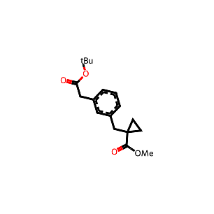 COC(=O)C1(Cc2cccc(CC(=O)OC(C)(C)C)c2)CC1